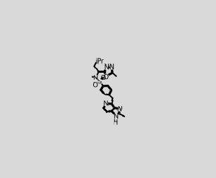 Cc1nc2c(Cc3ccc(S(=O)(=O)N(C)C(CC(C)C)c4nnc(C)o4)cc3)nccc2[nH]1